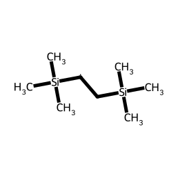 C[Si](C)(C)[CH]C[Si](C)(C)C